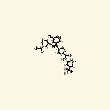 C=CC(=O)N1CCC[C@@H](n2nc(-c3cnc(C(=O)Nc4cc(C(F)(F)CC)ccn4)nc3)c3cncc(Cl)c32)C1